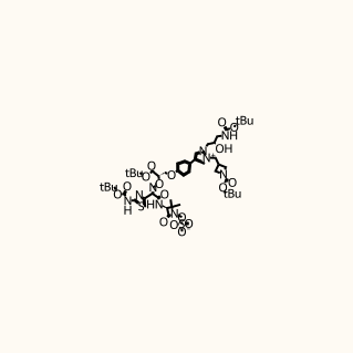 CC(C)(C)OC(=O)NC[C@H](O)Cn1cc(-c2ccc(OC[C@H](O/N=C(\C(=O)N[C@@H]3C(=O)N(OS(=O)(=O)[O-])C3(C)C)c3csc(NC(=O)OC(C)(C)C)n3)C(=O)OC(C)(C)C)cc2)c[n+]1CC1CN(C(=O)OC(C)(C)C)C1